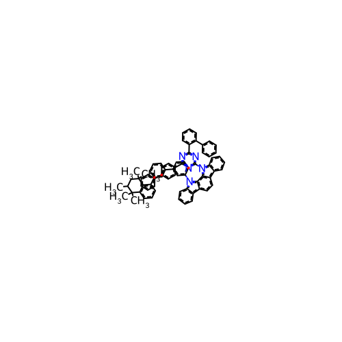 CC1CC(C)(C)c2c(-c3cccc(-c4cccc(-n5c6ccccc6c6ccc7c8ccccc8n(-c8nc(-c9ccc(-c%10ccccc%10)cc9)nc(-c9ccccc9-c9ccccc9)n8)c7c65)c4)c3)cccc2C1(C)C